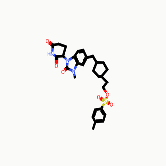 Cc1ccc(S(=O)(=O)OCCC2CCC(Cc3ccc4c(c3)n(C)c(=O)n4C3CCC(=O)NC3=O)CC2)cc1